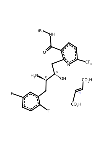 CC(C)(C)NC(=O)c1ccc(C(F)(F)F)nc1C[C@H](O)[C@H](N)Cc1cc(F)ccc1F.O=C(O)/C=C/C(=O)O